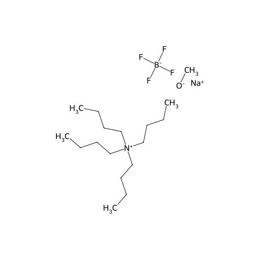 CCCC[N+](CCCC)(CCCC)CCCC.C[O-].F[B-](F)(F)F.[Na+]